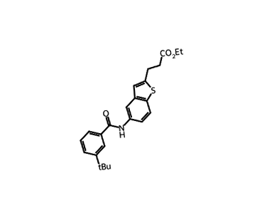 CCOC(=O)CCc1cc2cc(NC(=O)c3cccc(C(C)(C)C)c3)ccc2s1